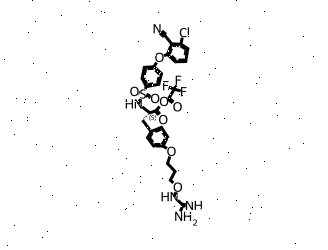 N#Cc1c(Cl)cccc1Oc1ccc(S(=O)(=O)N[C@@H](Cc2ccc(OCCCONC(=N)N)cc2)C(=O)OC(=O)C(F)(F)F)cc1